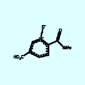 CNC(=O)c1ccc(C(=O)O)c[n+]1[O-]